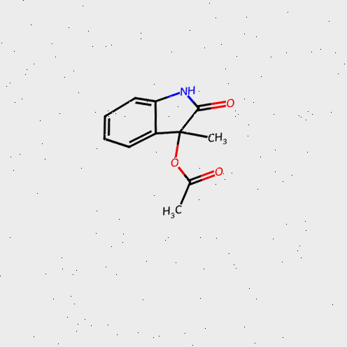 CC(=O)OC1(C)C(=O)Nc2ccccc21